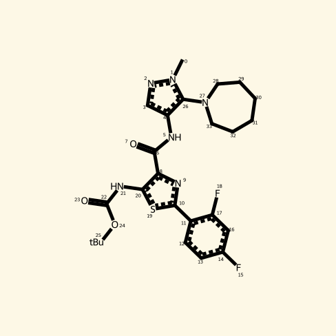 Cn1ncc(NC(=O)c2nc(-c3ccc(F)cc3F)sc2NC(=O)OC(C)(C)C)c1N1CCCCCC1